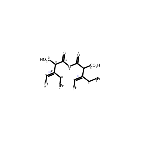 CC/C=C(\CC(C)C)C(C(=O)O)C(=O)OC(=O)C(C(=O)O)/C(=C/CC)CC(C)C